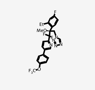 CCc1cc(F)ccc1[C@@](Cn1cnnn1)(OC)C(F)(F)c1ccc(-c2ccc(OC(F)(F)F)cc2)cn1